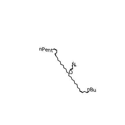 CCCC/C=C\C/C=C\CCCCCCCCC(CCCCCCCC/C=C\C/C=C\CCCCC)O/C=C/CN(C)C